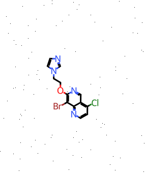 Clc1ccnc2c(Br)c(OCCn3ccnc3)ncc12